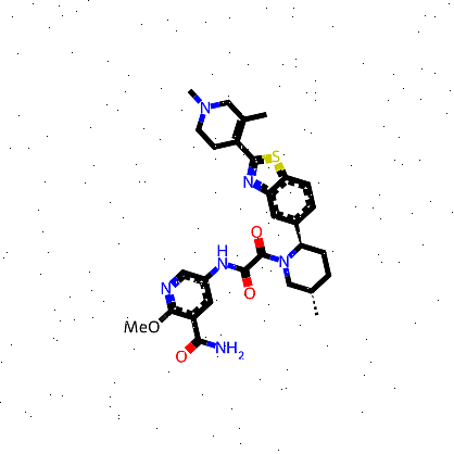 COc1ncc(NC(=O)C(=O)N2C[C@@H](C)CC[C@@H]2c2ccc3sc(C4=C(C)CN(C)CC4)nc3c2)cc1C(N)=O